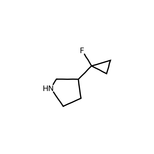 FC1(C2CCNC2)CC1